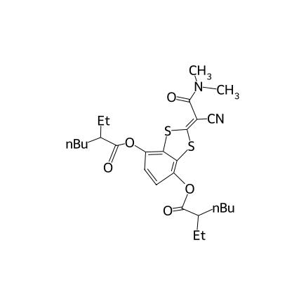 CCCCC(CC)C(=O)Oc1ccc(OC(=O)C(CC)CCCC)c2c1SC(=C(C#N)C(=O)N(C)C)S2